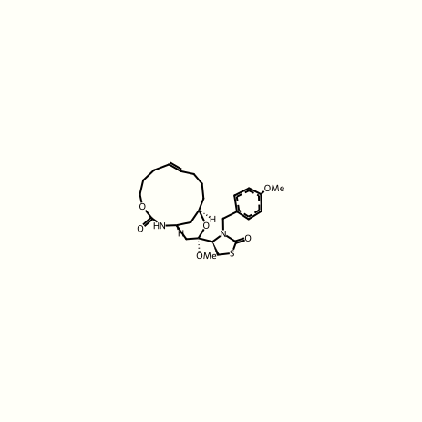 COc1ccc(CN2C(=O)SC[C@H]2[C@@]2(OC)C[C@H]3C[C@@H](CCC/C=C/CCCOC(=O)N3)O2)cc1